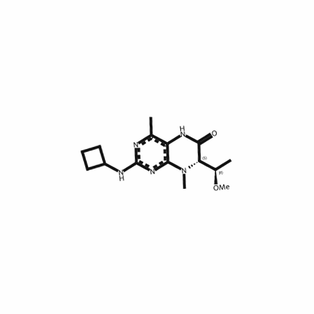 CO[C@H](C)[C@H]1C(=O)Nc2c(C)nc(NC3CCC3)nc2N1C